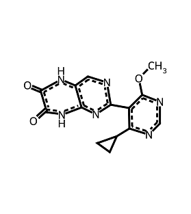 COc1ncnc(C2CC2)c1-c1ncc2[nH]c(=O)c(=O)[nH]c2n1